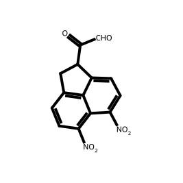 O=CC(=O)C1Cc2ccc([N+](=O)[O-])c3c([N+](=O)[O-])ccc1c23